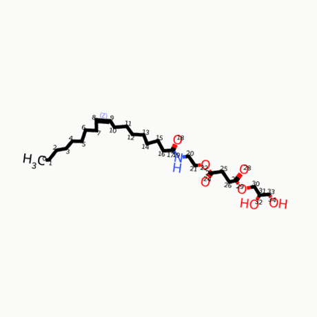 CCCCCCCC/C=C\CCCCCCCC(=O)NCCOC(=O)CCC(=O)OCC(O)CO